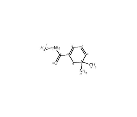 CNC(=O)C1=CC=CC(C)(N)C1